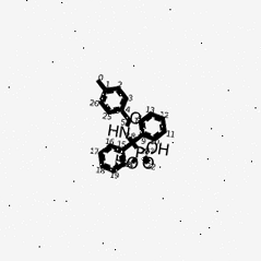 Cc1ccc(C(=O)NC(c2ccccc2)(c2ccccc2)P(=O)(O)O)cc1